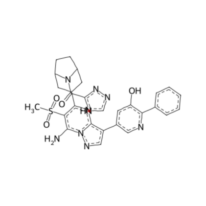 CS(=O)(=O)c1c(C2CC3CCC(C2)N3C(=O)c2nnc[nH]2)nc2c(-c3cnc(-c4ccccc4)c(O)c3)cnn2c1N